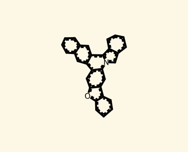 c1ccc2cc3c(cc2c1)c1cc2oc4ccccc4c2cc1n1cc2ccccc2c31